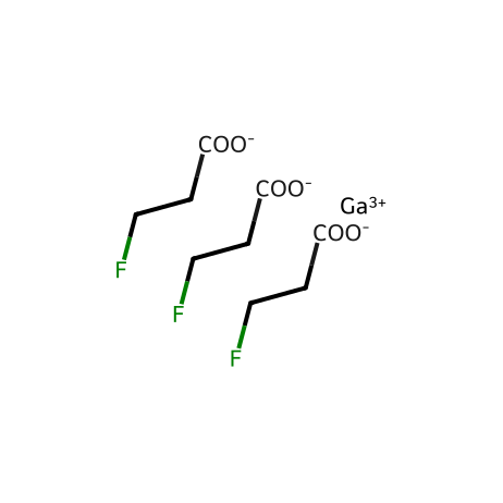 O=C([O-])CCF.O=C([O-])CCF.O=C([O-])CCF.[Ga+3]